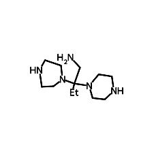 CCC(CN)(N1CCNCC1)N1CCNCC1